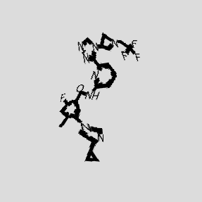 Cc1cc(F)c(C(=O)Nc2cccc(-c3nncn3C3CN(CC(F)(F)F)C3)n2)cc1-n1cnc(C2CC2)c1